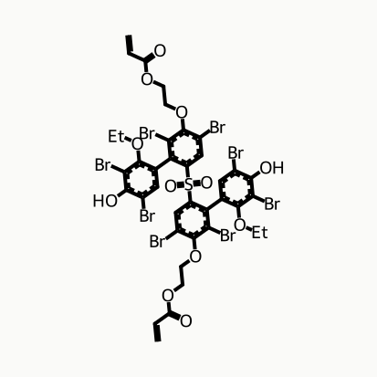 C=CC(=O)OCCOc1c(Br)cc(S(=O)(=O)c2cc(Br)c(OCCOC(=O)C=C)c(Br)c2-c2cc(Br)c(O)c(Br)c2OCC)c(-c2cc(Br)c(O)c(Br)c2OCC)c1Br